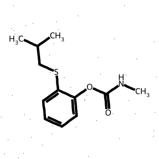 CNC(=O)Oc1ccccc1SCC(C)C